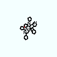 c1ccc(-c2cc(-n3c4ccccc4c4c5ccncc5c5c(c6ccccc6n5-c5ccccc5)c43)nc(-c3ccccc3)n2)cc1